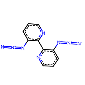 [N-]=[N+]=Nc1cccnc1-c1ncccc1N=[N+]=[N-]